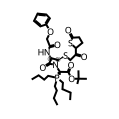 CCCCP(CCCC)(CCCC)=C(C(=O)OC(C)(C)C)N1C(=O)[C@@H](NC(=O)COc2ccccc2)[C@H]1SCC(=O)C1CCC(=O)S1